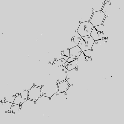 C=C1C=C[C@@]2(C)C(=C1)CC[C@H]1[C@@H]3C[C@H]4O[C@@H](c5ccc(Cc6cccc(NC(C)(C)C)c6)s5)O[C@@]4(C(=O)CC)[C@@]3(C)C[C@H](O)[C@@]12F